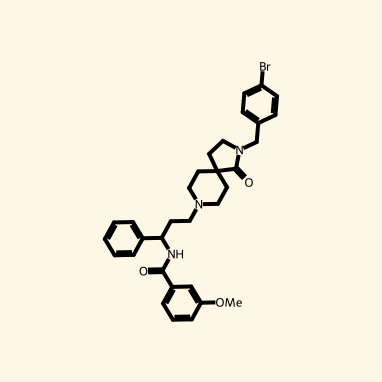 COc1cccc(C(=O)NC(CCN2CCC3(CC2)CCN(Cc2ccc(Br)cc2)C3=O)c2ccccc2)c1